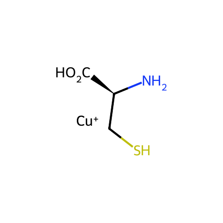 N[C@@H](CS)C(=O)O.[Cu+]